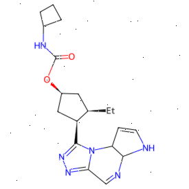 CC[C@@H]1C[C@H](OC(=O)NC2CCC2)C[C@@H]1c1nnc2n1C1C=CNC1N=C2